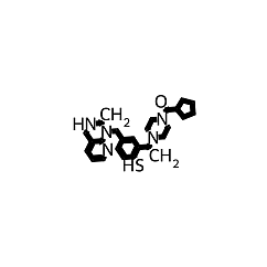 C=C(c1cc(CN2C(=C)NCc3cccnc32)ccc1S)N1CCN(C(=O)C2CCCC2)CC1